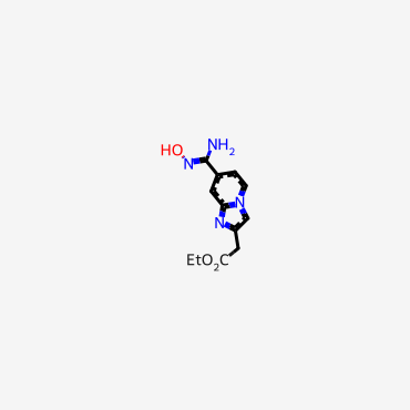 CCOC(=O)Cc1cn2ccc(C(N)=NO)cc2n1